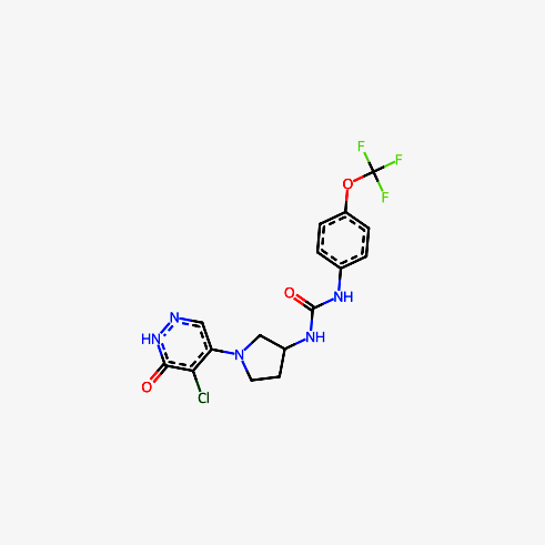 O=C(Nc1ccc(OC(F)(F)F)cc1)NC1CCN(c2cn[nH]c(=O)c2Cl)C1